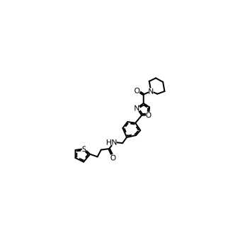 O=C(CCc1cccs1)NCc1ccc(-c2nc(C(=O)N3CCCCC3)co2)cc1